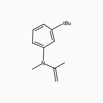 C=C(C)N(C)c1cccc(C(C)(C)C)c1